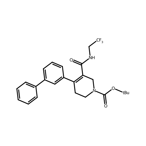 CC(C)(C)OC(=O)N1CCC(c2cccc(-c3ccccc3)c2)=C(C(=O)NCC(F)(F)F)C1